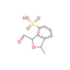 CC1OC(C=O)c2c1cccc2S(=O)(=O)O